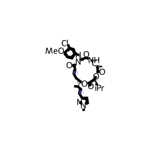 COc1ccc(C[C@H]2NC(=O)/C=C/C[C@@H](C(C)/C=C/c3ccn(C)n3)OC(=O)[C@H](CC(C)C)OC(=O)[C@H](C)CNC2=O)cc1Cl